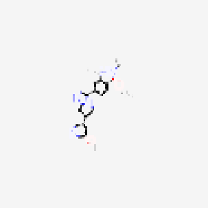 CCOc1cncc(-c2ccn3c(-c4cc(OC)c(C(=O)NCC(F)(F)F)c(OC)c4)cnc3c2)c1